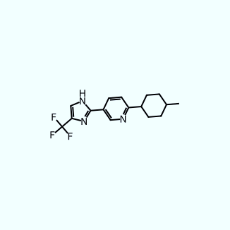 CC1CCC(c2ccc(-c3nc(C(F)(F)F)c[nH]3)cn2)CC1